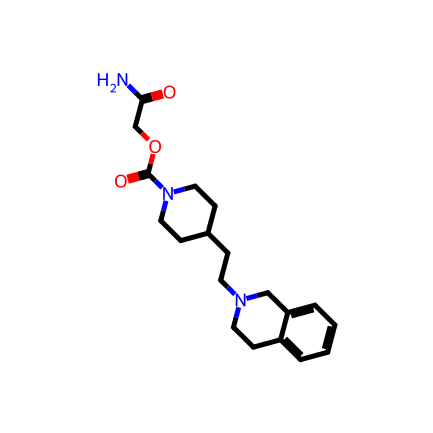 NC(=O)COC(=O)N1CCC(CCN2CCc3ccccc3C2)CC1